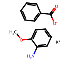 COc1ccccc1N.O=C([O-])c1ccccc1.[K+]